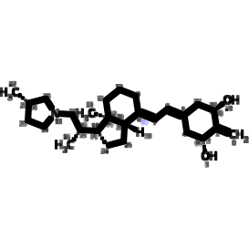 C=C1[C@H](O)CC(=C/C=C2\CCC[C@]3(C)[C@@H]([C@H](C)CN4CC[C@H](C)C4)CC[C@@H]23)C[C@H]1O